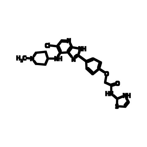 CN1CCC(Nc2c(Cl)cnc3[nH]c(-c4ccc(OCC(=O)NC5NC=CS5)cc4)nc23)CC1